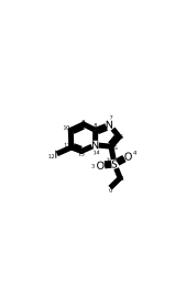 CCS(=O)(=O)c1cnc2ccc(I)cn12